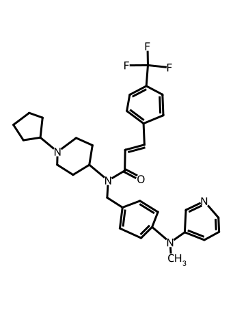 CN(c1ccc(CN(C(=O)C=Cc2ccc(C(F)(F)F)cc2)C2CCN(C3CCCC3)CC2)cc1)c1cccnc1